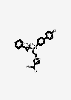 CNC(=O)c1cnn(CCN(C2(C(=O)O)CC2c2ccccc2)S(=O)(=O)c2ccc(-c3ccc(Cl)cc3)cc2)c1